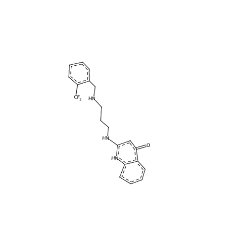 O=c1cc(NCCCNCc2ccccc2C(F)(F)F)[nH]c2ccccc12